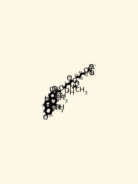 CC(=O)NC(CC(=O)OCC(=O)C1(O)[C@@H](C)C[C@H]2[C@@H]3CCC4=CC(=O)C=C[C@]4(C)[C@@]3(Cl)[C@@H](O)C[C@@]21C)C(=O)OCCCCO[N+](=O)[O-]